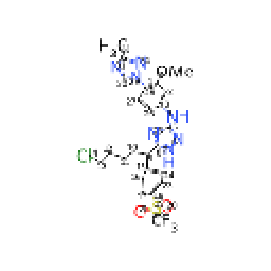 COc1cc(Nc2n[nH]c(C(CCCCCl)c3ccc(S(=O)(=O)C(F)(F)F)cc3)n2)ccc1-n1cnc(C)n1